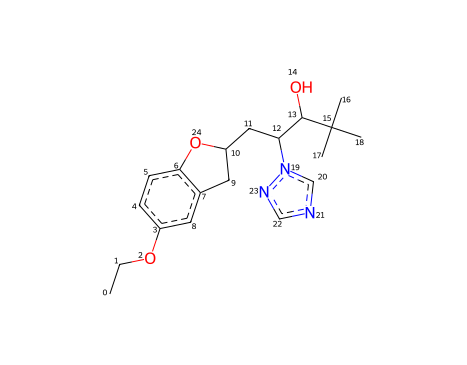 CCOc1ccc2c(c1)CC(CC(C(O)C(C)(C)C)n1cncn1)O2